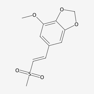 COc1cc(C=CS(C)(=O)=O)cc2c1OCO2